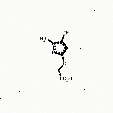 CCOC(=O)COc1cc(C(F)(F)F)n(C)n1